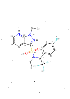 CCN(C(c1ccc(F)cc1)C(F)(F)F)S(=O)(=O)c1nn(CC)c2ncccc12